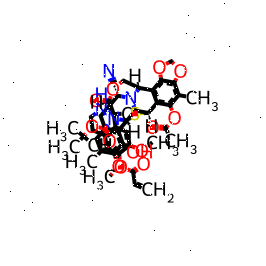 C=CC(=O)Oc1cc2c(cc1OC)[C@@]1(CS[C@@H]3c4c(OC(C)=O)c(C)c5c(c4[C@H](COC1=O)N1C3[C@@H]3c4c(cc(C)c(OC)c4O)C[C@@H]([C@@H]1C#N)N3C(=O)OC(C)(C)C)OCO5)NCC2